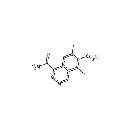 CCOC(=O)c1c(C)cc2c(C(N)=O)nncc2c1C